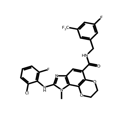 Cn1c(Nc2c(F)cccc2Cl)nc2cc(C(=O)NCc3cc(F)cc(C(F)(F)F)c3)c3c(c21)OCCO3